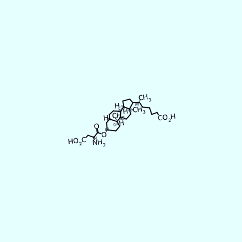 C[C@H](CCCCC(=O)O)C1CC[C@H]2[C@@H]3CC[C@@H]4C[C@H](OC(=O)[C@@H](N)CC(=O)O)CC[C@]4(C)[C@H]3CC[C@]12C